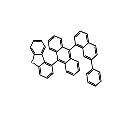 c1ccc(-c2ccc3cccc(-c4c5ccccc5c(-c5cccc6oc7ccccc7c56)c5ccccc45)c3c2)cc1